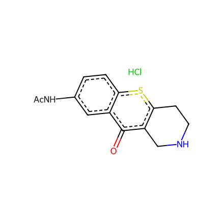 CC(=O)Nc1ccc2sc3c(c(=O)c2c1)CNCC3.Cl